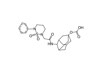 O=C(CN1CCCN(c2ccccc2)S1(=O)=O)NC1C2CC3CC1CC(OC(=O)O)(C3)C2